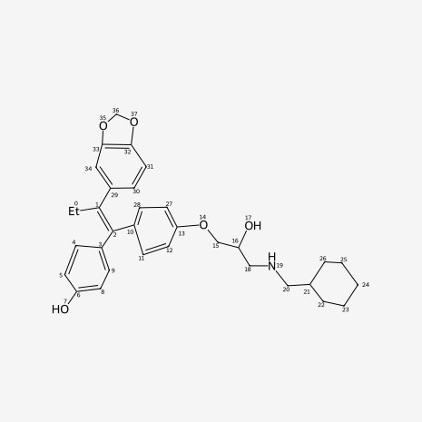 CC/C(=C(\c1ccc(O)cc1)c1ccc(OCC(O)CNCC2CCCCC2)cc1)c1ccc2c(c1)OCO2